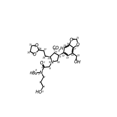 CCCCN(CCCO)C(=O)CN1C[C@H](c2cc(CO)c3c(c2)OCO3)[C@@H](C(=O)O)[C@@H]1CCC1OCCO1